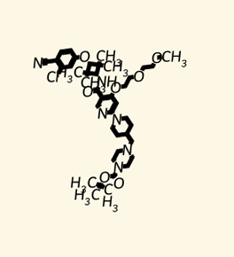 COCCOCCOc1cc(N2CCC(CN3CCN(C(=O)OC(C)(C)C)CC3)CC2)ncc1C(=O)N[C@H]1C(C)(C)[C@H](Oc2ccc(C#N)c(Cl)c2)C1(C)C